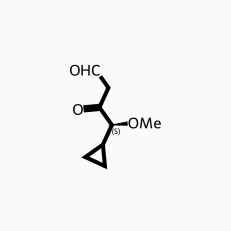 CO[C@H](C(=O)CC=O)C1CC1